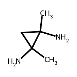 CC1(N)CC1(C)N